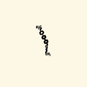 C=CC[C@H]1CC[C@H](c2ccc(-c3ccc(COC/C=C/CC)cc3)cc2)CC1